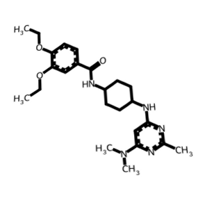 CCOc1ccc(C(=O)NC2CCC(Nc3cc(N(C)C)nc(C)n3)CC2)cc1OCC